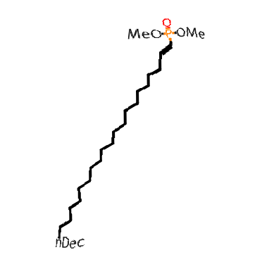 CCCCCCCCCCCCCCCCCCCCCCCCCCCC/C=C/P(=O)(OC)OC